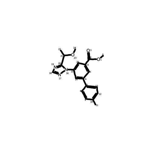 COC(=O)c1cc(-c2ccc(C)cc2)cc(-n2ncnc2C(C)OC)c1